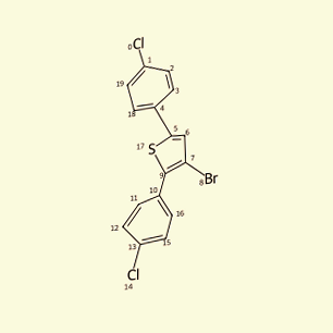 Clc1ccc(-c2cc(Br)c(-c3ccc(Cl)cc3)s2)cc1